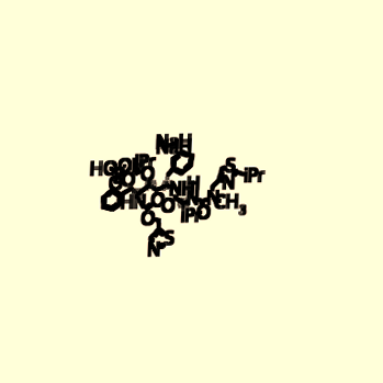 CC(C)c1nc(CN(C)C(=O)N[C@H](C(=O)N[C@@H](Cc2ccccc2)C[C@H](OC(OP(=O)(O)O)C(C)C)[C@H](Cc2ccccc2)NC(=O)OCc2cncs2)C(C)C)cs1.[NaH].[NaH]